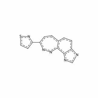 c1nc2ccc3ccc(-c4ccsn4)nnc3c2n1